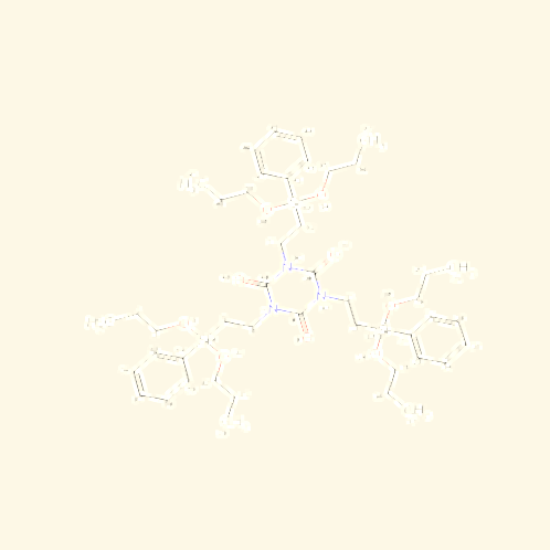 CCCO[Si](CCn1c(=O)n(CC[Si](OCCC)(OCCC)c2ccccc2)c(=O)n(CC[Si](OCCC)(OCCC)c2ccccc2)c1=O)(OCCC)c1ccccc1